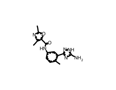 Cc1nc(C)c(C(=O)Nc2ccc(C)c(-c3n[nH]c(N)n3)c2)o1